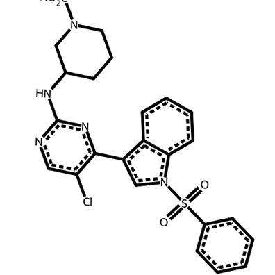 O=C(O)N1CCCC(Nc2ncc(Cl)c(-c3cn(S(=O)(=O)c4ccccc4)c4ccccc34)n2)C1